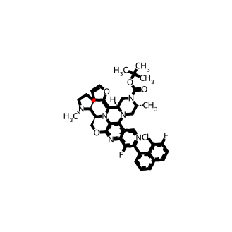 C[C@@H]1CN2c3c4c(nc5c(F)c(-c6cccc7ccc(F)c(Cl)c67)ncc35)OC[C@@H]([C@@H]3CCCN3C)N4C(=C3CC=CO3)[C@H]2CN1C(=O)OC(C)(C)C